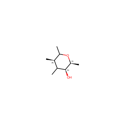 CC1O[C@@H](C)[C@@H](O)C(C)[C@H]1C